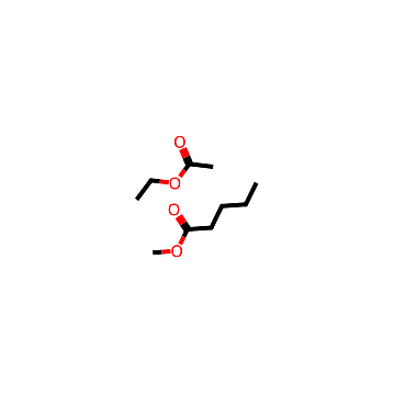 CCCCC(=O)OC.CCOC(C)=O